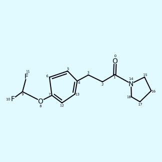 O=C(CCc1ccc(OC(F)F)cc1)N1CCCC1